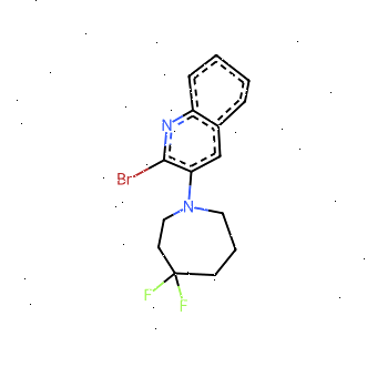 FC1(F)CCCN(c2cc3ccccc3nc2Br)CC1